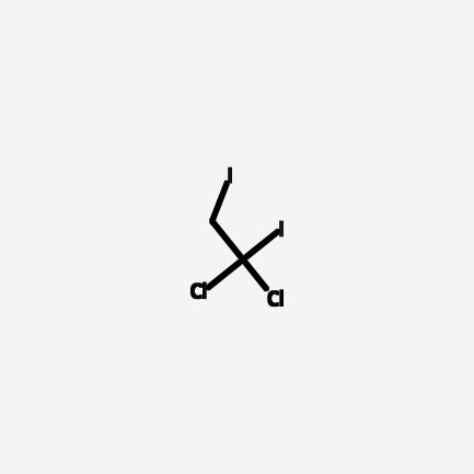 ClC(Cl)(I)CI